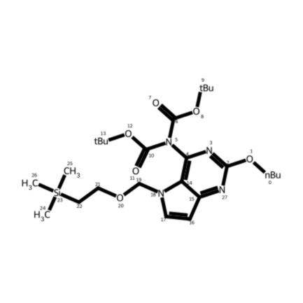 CCCCOc1nc(N(C(=O)OC(C)(C)C)C(=O)OC(C)(C)C)c2c(ccn2COCC[Si](C)(C)C)n1